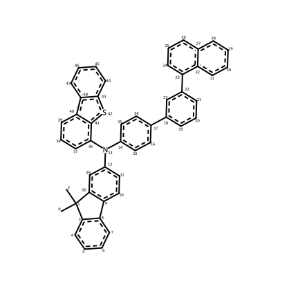 CC1(C)c2ccccc2-c2ccc(N(c3ccc(-c4cccc(-c5cccc6ccccc56)c4)cc3)c3cccc4c3sc3ccccc34)cc21